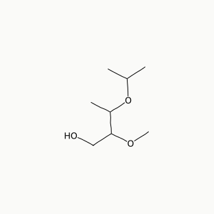 COC(CO)C(C)OC(C)C